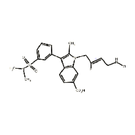 Cc1c(-c2cccc(S(=O)(=O)N(C)C)c2)c2ccc(C(=O)O)cc2n1C/C(F)=C/CNCl